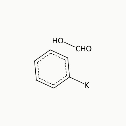 O=CO.[K][c]1ccccc1